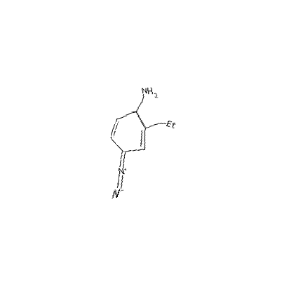 CCC1=CC(=[N+]=[N-])C=CC1N